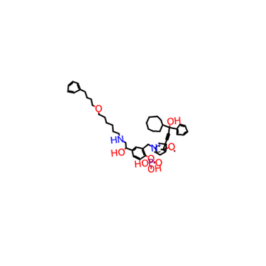 COC1(C#CC(O)(c2ccccc2)C2CCCCCCC2)C[N+]2(Cc3cc(C(O)CNCCCCCCOCCCCc4ccccc4)ccc3OP(=O)(O)O)CCC1CC2